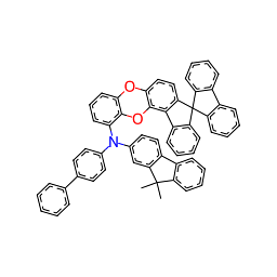 CC1(C)c2ccccc2-c2ccc(N(c3ccc(-c4ccccc4)cc3)c3cccc4c3Oc3c(ccc5c3-c3ccccc3C53c5ccccc5-c5ccccc53)O4)cc21